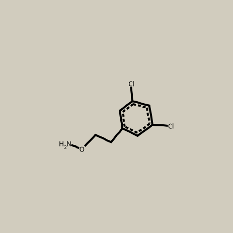 NOCCc1cc(Cl)cc(Cl)c1